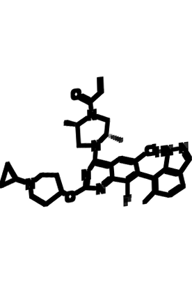 C=CC(=O)N1C[C@H](C)N(c2nc(OC3CCN(C4CC4)CC3)nc3c(F)c(-c4c(C)ccc5cn[nH]c45)c(Cl)cc23)C[C@H]1C